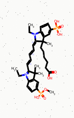 CCN1/C(=C/C=C/C=C/C2=[N+](CC)c3ccc(P(=O)(O)OC)cc3C2(C)C)C(C)(CCCCCC(=O)O)c2cc(P(=O)(O)O)ccc21